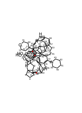 C[C@H]1C[C@H](C2CC3CCCC34c3ccc5[nH]c(nc5c3)C(NC(=O)O)(C3CCOCC3)C(=O)N24)N(c2cc(F)c(N3CCCCC3)c(F)c2)[C@]1(C)C1CC2CCC[C@@]23c2ccc4[nH]c(nc4c2)[C@@](NC(=O)O)(C2CCOCC2)C(=O)N13